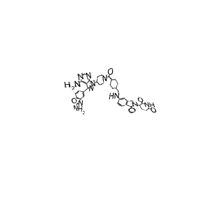 Nc1nc2cc(-c3nn(C4CCN(C(=O)C5CCC(CNc6ccc7c(c6)CN(C6CCC(=O)NC6=O)C7=O)CC5)CC4)c4ncnc(N)c34)ccc2o1